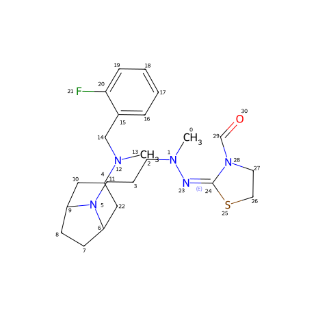 CN(CCCN1C2CCC1CC(N(C)Cc1ccccc1F)C2)/N=C1/SCCN1C=O